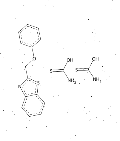 NC(O)=S.NC(O)=S.c1ccc(OCc2nc3ccccc3s2)cc1